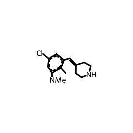 CNc1cc(Cl)cc(C=C2CCNCC2)c1C